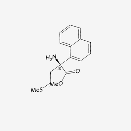 COC(=O)[C@](N)(CCSC)c1cccc2ccccc12